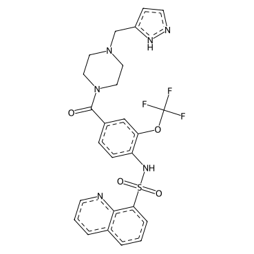 O=C(c1ccc(NS(=O)(=O)c2cccc3cccnc23)c(OC(F)(F)F)c1)N1CCN(Cc2ccn[nH]2)CC1